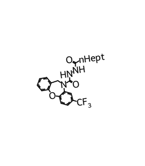 CCCCCCCC(=O)NNC(=O)N1Cc2ccccc2Oc2ccc(C(F)(F)F)cc21